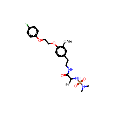 COc1cc(CCNC(=O)C(NS(=O)(=O)N(C)C)C(C)C)ccc1OCCOc1ccc(F)cc1